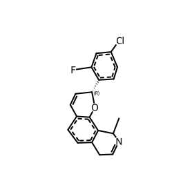 CC1N=CCc2ccc3c(c21)O[C@@H](c1ccc(Cl)cc1F)C=C3